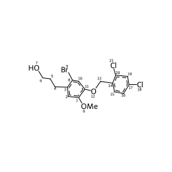 COc1cc(CCCO)c(Br)cc1OCc1ccc(Cl)cc1Cl